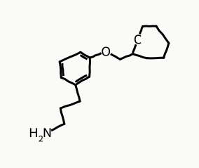 NCCCc1cccc(OCC2CCCCCC2)c1